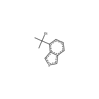 CCC(C)(C)c1cccc2cscc12